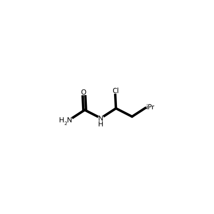 CC(C)CC(Cl)NC(N)=O